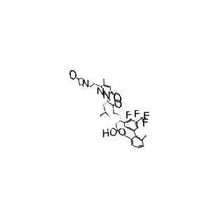 COC1CN(CCc2nn([C@@H](CC(C)C)C(=O)CC[C@@H](CC(=O)O)c3cc(-c4c(C)cccc4C)cc(C(F)(F)F)c3F)c(=O)cc2C)C1